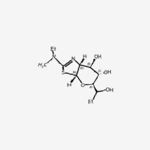 CCC(O)[C@H]1O[C@@H]2SC(N(C)CC)=N[C@@H]2[C@@H](O)[C@@H]1O